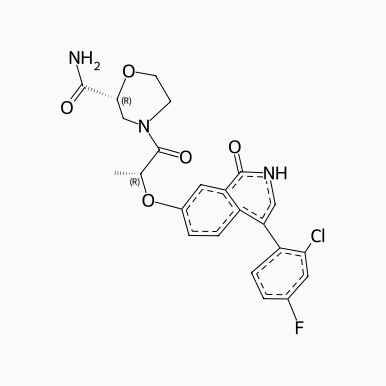 C[C@@H](Oc1ccc2c(-c3ccc(F)cc3Cl)c[nH]c(=O)c2c1)C(=O)N1CCO[C@@H](C(N)=O)C1